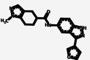 Cn1ncc2c1CCC(C(=O)Nc1ccc3[nH]nc(-c4ccoc4)c3c1)C2